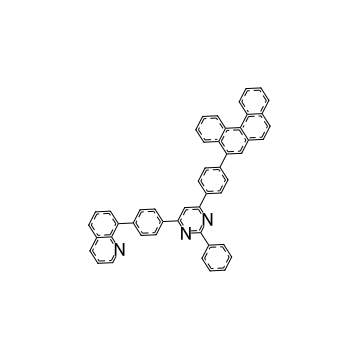 c1ccc(-c2nc(-c3ccc(-c4cc5ccc6ccccc6c5c5ccccc45)cc3)cc(-c3ccc(-c4cccc5cccnc45)cc3)n2)cc1